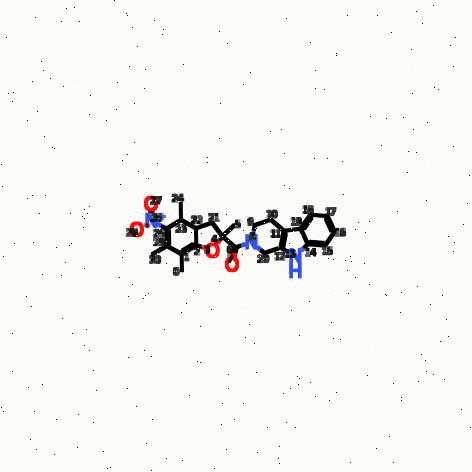 CC1=C2OC(C)(C(=O)N3CCc4c([nH]c5ccccc45)C3)CC2C(C)C([N+](=O)[O-])=C1C